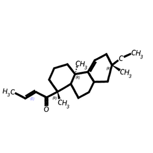 C/C=C/C(=O)[C@]1(C)CCC[C@@]2(C)C3=CC[C@](C)(CC)CC3CCC12